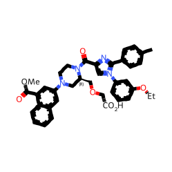 CCOc1cccc(-n2cc(C(=O)N3CCN(c4cc(C(=O)OC)c5ccccc5c4)C[C@@H]3COCC(=O)O)nc2-c2ccc(C)cc2)c1